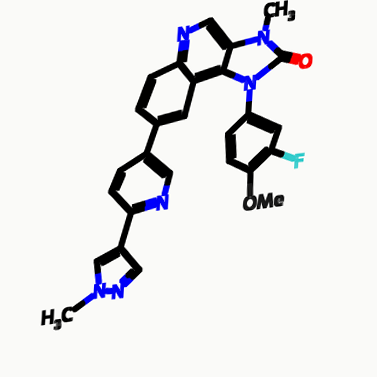 COc1ccc(-n2c(=O)n(C)c3cnc4ccc(-c5ccc(-c6cnn(C)c6)nc5)cc4c32)cc1F